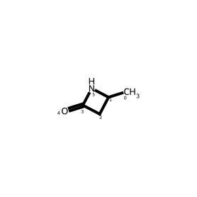 CC1CC(=O)N1